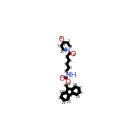 O=C1CCN(C(=O)CCCCCNC(=O)OCC2c3ccccc3-c3ccccc32)CC1